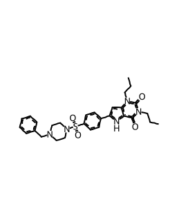 CCCn1c(=O)c2[nH]c(-c3ccc(S(=O)(=O)N4CCN(Cc5ccccc5)CC4)cc3)cc2n(CCC)c1=O